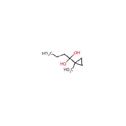 O=C(O)CCC(O)(O)C1(C(=O)O)CC1